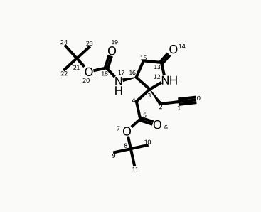 C#CC[C@]1(CC(=O)OC(C)(C)C)NC(=O)C[C@@H]1NC(=O)OC(C)(C)C